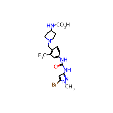 Cn1nc(NC(=O)Nc2ccc(CN3CCC(NC(=O)O)CC3)c(C(F)(F)F)c2)cc1Br